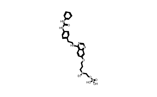 CCN(CCCOc1ccc2c(NCCc3ccc(NC(=O)Nc4ccccc4)cc3)ncnc2c1)CCOP(=O)(O)O